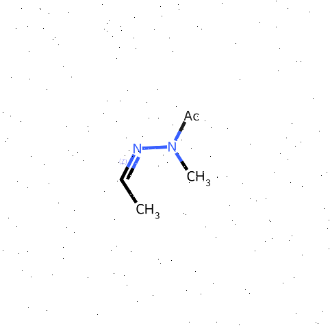 C/C=N\N(C)C(C)=O